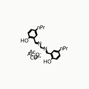 CC(=O)[O-].CC(=O)[O-].CCCc1ccc(O)c(C=NCN=Cc2cc(CCC)ccc2O)c1.[Co+2]